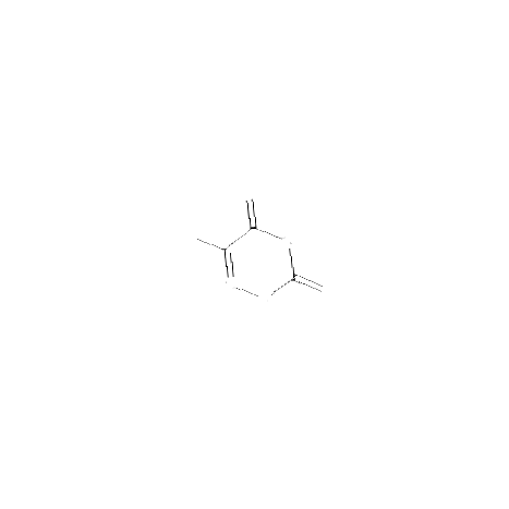 O=c1[nH]nc(O)c(=O)[nH]1